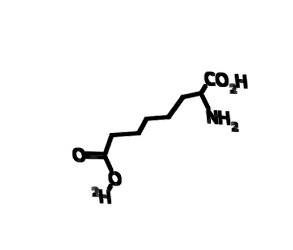 [2H]OC(=O)CCCCCC(N)C(=O)O